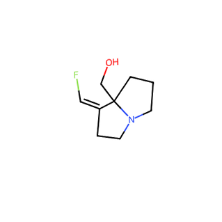 OCC12CCCN1CCC2=CF